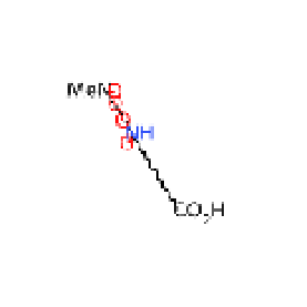 CNC(=O)COCCOCCNC(=O)CCCCCCCCCCCCCCC(=O)O